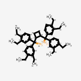 CCc1ccc(C(P)(c2ccc(CC)c(CC)c2)C2CCC2C(P)(c2ccc(CC)c(CC)c2)c2ccc(CC)c(CC)c2)cc1CC